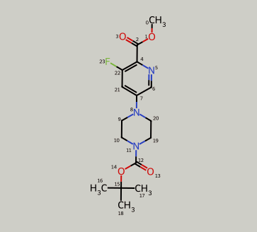 COC(=O)c1ncc(N2CCN(C(=O)OC(C)(C)C)CC2)cc1F